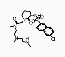 CNCCN(C)CCN(C)C(=O)CN1CCC[C@H](NS(=O)(=O)c2ccc3cc(Cl)ccc3c2)C1=O